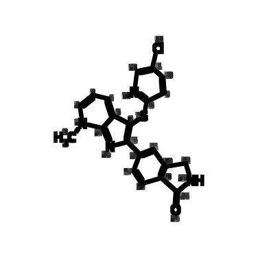 Cn1cccc2c(Sc3ccc(Cl)cn3)c(-c3ccc4c(c3)CNC4=O)nc1-2